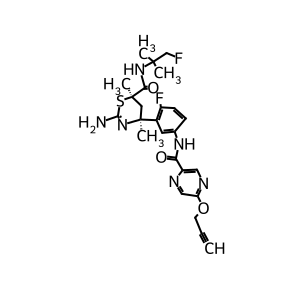 C#CCOc1cnc(C(=O)Nc2ccc(F)c([C@]3(C)C[C@](C)(C(=O)NC(C)(C)CF)SC(N)=N3)c2)cn1